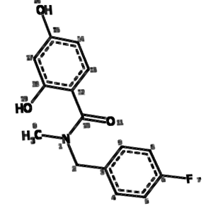 CN(Cc1ccc(F)cc1)C(=O)c1ccc(O)cc1O